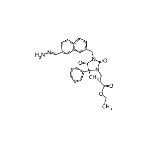 CCOC(=O)CCN1C(=O)N(Cc2ccc3ccc(C=NN)cc3c2)C(=O)C1(C)c1ccccc1